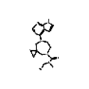 CN(CC#N)C(=O)N1CCN(c2ncnc3[nH]ccc23)CC2(CC2)C1